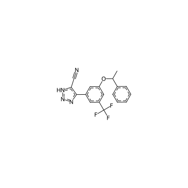 CC(Oc1cc(-c2nn[nH]c2C#N)cc(C(F)(F)F)c1)c1ccccc1